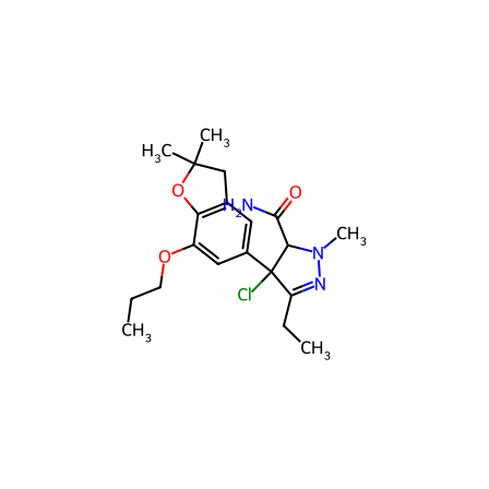 CCCOc1cc(C2(Cl)C(CC)=NN(C)C2C(N)=O)cc2c1OC(C)(C)C2